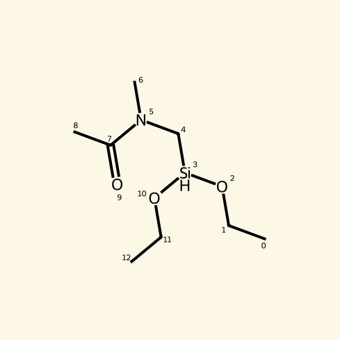 CCO[SiH](CN(C)C(C)=O)OCC